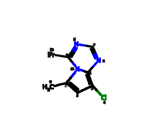 Cc1cc(Cl)c2ncnc(C(C)C)n12